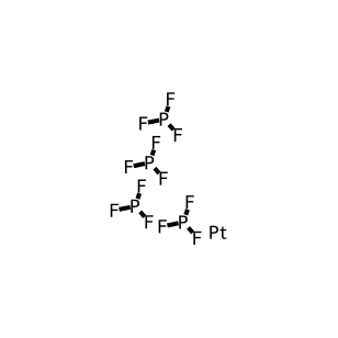 FP(F)F.FP(F)F.FP(F)F.FP(F)F.[Pt]